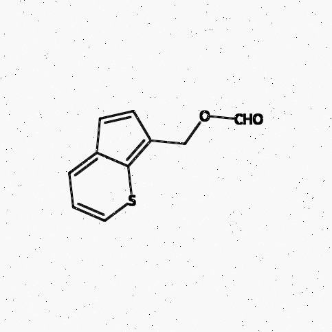 O=COCc1ccc2cccsc1-2